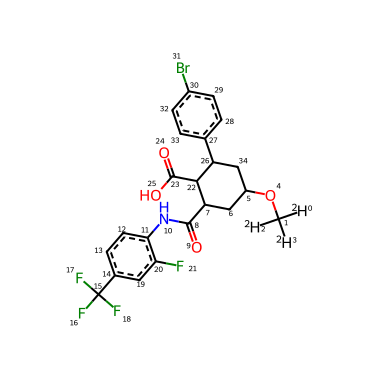 [2H]C([2H])([2H])OC1CC(C(=O)Nc2ccc(C(F)(F)F)cc2F)C(C(=O)O)C(c2ccc(Br)cc2)C1